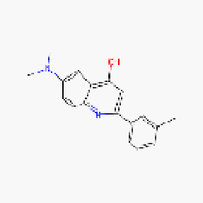 Cc1cccc(-c2cc(O)c3cc(N(C)C)ccc3n2)c1